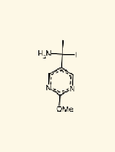 COc1ncc([C@](C)(N)I)cn1